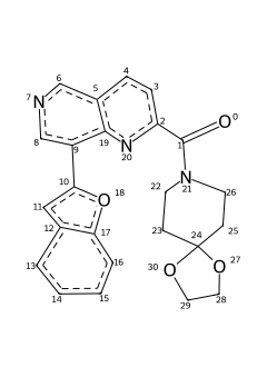 O=C(c1ccc2cncc(-c3cc4ccccc4o3)c2n1)N1CCC2(CC1)OCCO2